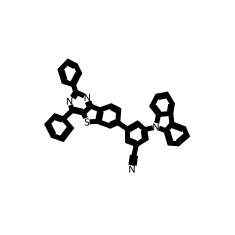 N#Cc1cc(-c2ccc3c(c2)sc2c(-c4ccccc4)nc(-c4ccccc4)nc23)cc(-n2c3ccccc3c3ccccc32)c1